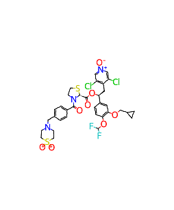 O=C(O[C@@H](Cc1c(Cl)c[n+]([O-])cc1Cl)c1ccc(OC(F)F)c(OCC2CC2)c1)[C@@H]1SCCN1C(=O)c1ccc(CN2CCS(=O)(=O)CC2)cc1